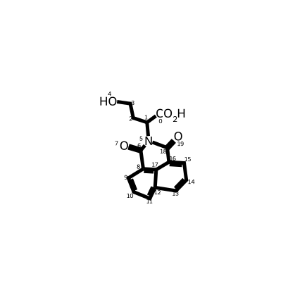 O=C(O)C(CCO)N1C(=O)c2cccc3cccc(c23)C1=O